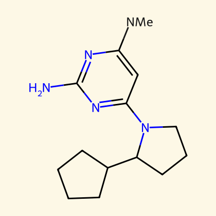 CNc1cc(N2CCCC2C2CCCC2)nc(N)n1